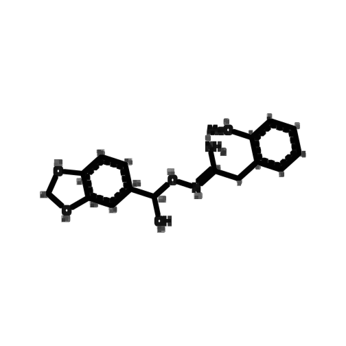 COc1ccccc1C/C(N)=N/OC(O)c1ccc2c(c1)OCO2